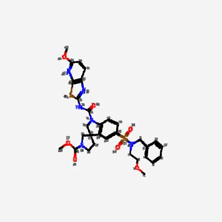 COCCN(Cc1ccccc1)S(=O)(=O)c1ccc2c(c1)[C@@]1(CCN(C(=O)OC)C1)CN2C(=O)Nc1nc2ccc(OC)nc2s1